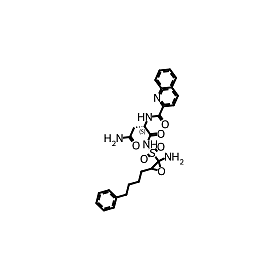 NC(=O)C[C@H](NC(=O)c1ccc2ccccc2n1)C(=O)NS(=O)(=O)C1(N)OC1CCCCc1ccccc1